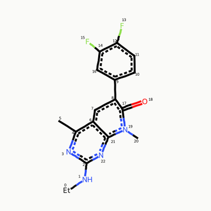 CCNc1nc(C)c2cc(-c3ccc(F)c(F)c3)c(=O)n(C)c2n1